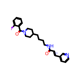 O=C(/C=C/c1cccnc1)NCCCCC1CCN(C(=O)c2ccccc2I)CC1